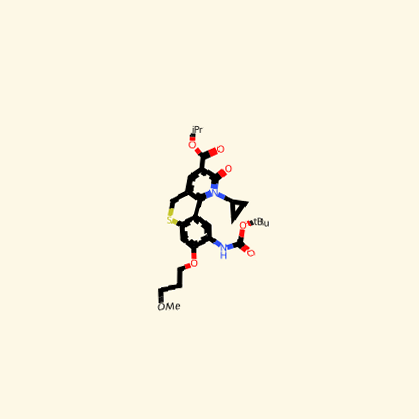 COCCCOc1cc2c(cc1NC(=O)OC(C)(C)C)-c1c(cc(C(=O)OC(C)C)c(=O)n1C1CC1)CS2